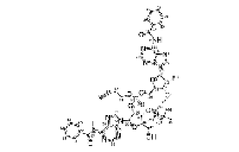 CO[C@H]1[C@@H](F)[C@H](n2cnc3c(NC(=O)c4ccccc4)ncnc32)O[C@@H]1COP(=O)(OCCC#N)O[C@@H]1[C@H](O[Si](C)(C)C(C)(C)C)[C@@H](CO)O[C@H]1n1cnc2c(NC(=O)c3ccccc3)ncnc21